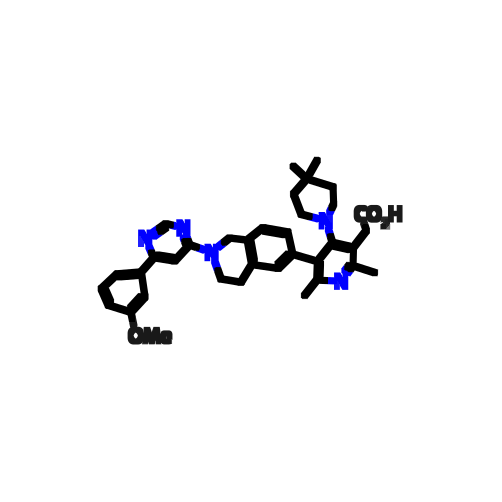 COc1cccc(-c2cc(N3CCc4cc(-c5c(C)nc(C)c(CC(=O)O)c5N5CCC(C)(C)CC5)ccc4C3)ncn2)c1